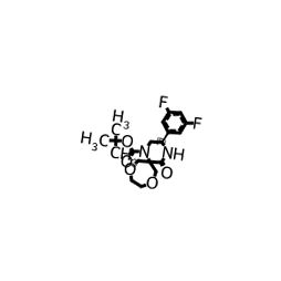 CC(C)(C)OC(=O)N1C[C@@H](c2cc(F)cc(F)c2)NC(=O)C12COCCOC2